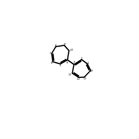 [C]1=CC=C(C2=CC=CCCC2)C=CC1